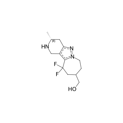 C[C@@H]1Cc2nn3c(c2CN1)C(F)(F)CC(CO)CC3